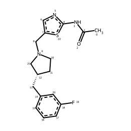 CC(=O)Nc1ncc(CN2CC[C@H](Cc3cccc(F)c3)C2)s1